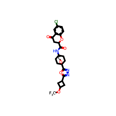 O=C1CC(C(=O)NC23CCC(c4nnc(C5CC(OC(F)(F)F)C5)o4)(CC2)OC3)Oc2ccc(Cl)cc21